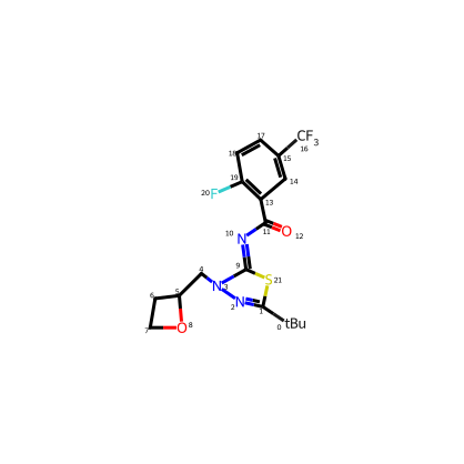 CC(C)(C)c1nn(CC2CCO2)/c(=N/C(=O)c2cc(C(F)(F)F)ccc2F)s1